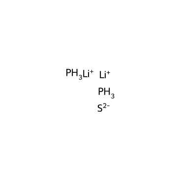 P.P.[Li+].[Li+].[S-2]